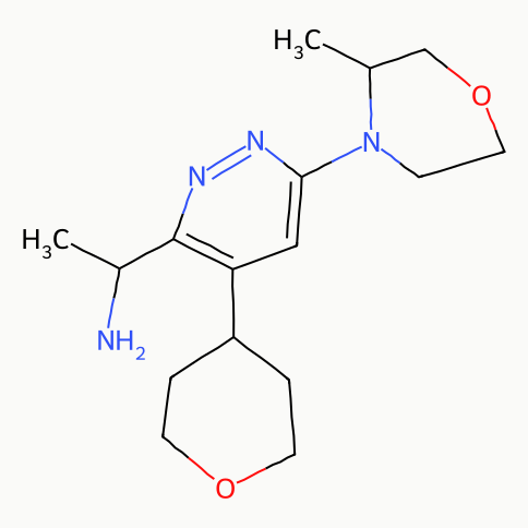 CC(N)c1nnc(N2CCOCC2C)cc1C1CCOCC1